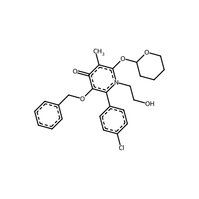 Cc1c(OC2CCCCO2)n(CCO)c(-c2ccc(Cl)cc2)c(OCc2ccccc2)c1=O